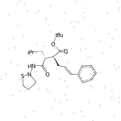 CC(C)C[C@@H](C(=O)NN1CCCS1)[C@H](C/C=C/c1ccccc1)C(=O)OC(C)(C)C